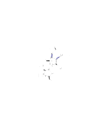 C=C/C=C1/C(=O)N(C2CC(=O)NC2=O)C(=O)/C1=C/C